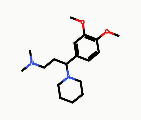 COc1ccc(C(CCN(C)C)N2CCCCC2)cc1OC